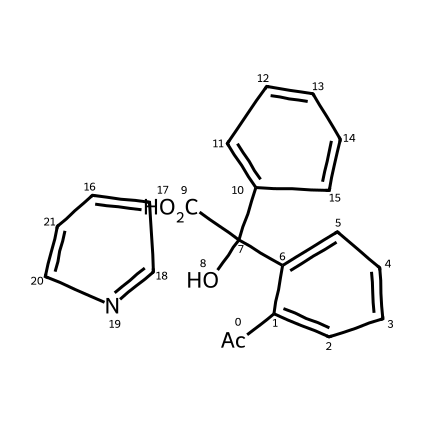 CC(=O)c1ccccc1C(O)(C(=O)O)c1ccccc1.c1ccncc1